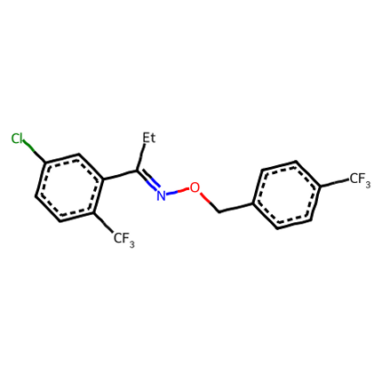 CC/C(=N\OCc1ccc(C(F)(F)F)cc1)c1cc(Cl)ccc1C(F)(F)F